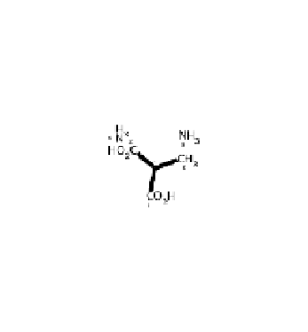 CC(C(=O)O)C(=O)O.N.N